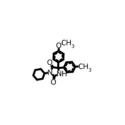 COc1ccc(C2(c3ccc(C)cc3)NC(=O)N(C3CCCCC3)C2=O)cc1